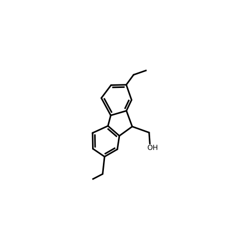 CCc1ccc2c(c1)C(CO)c1cc(CC)ccc1-2